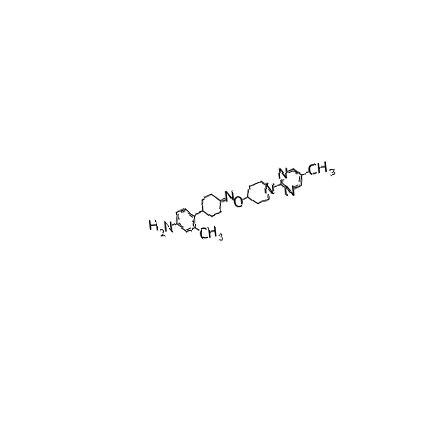 Cc1cnc(N2CCC(ON=C3CCC(c4ccc(N)cc4C)CC3)CC2)nc1